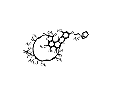 CO[C@H]1/C=C/O[C@@]2(C)Oc3c(C)c(O)c4c(=O)c(c5oc6cc(OCC[N+]7(C)CC8CCC7C8)cc(O)c6nc-5c4c3C2=O)NC(=O)/C(C)=C\C=C\[C@H](C)[C@H](O)[C@@H](C)[C@@H](O)[C@@H](C)[C@H](OC(C)=O)[C@@H]1C